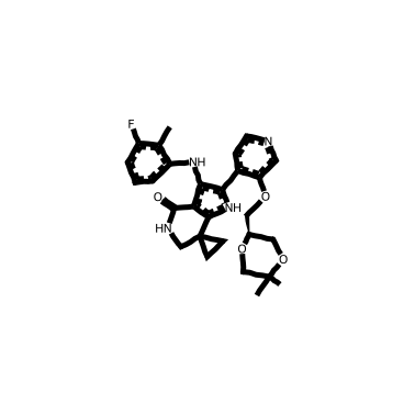 Cc1c(F)cccc1Nc1c(-c2ccncc2OC[C@H]2COC(C)(C)CO2)[nH]c2c1C(=O)NCC21CC1